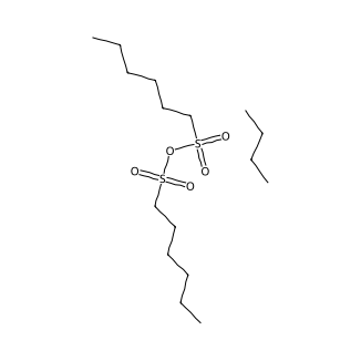 CCCC.CCCCCCS(=O)(=O)OS(=O)(=O)CCCCCC